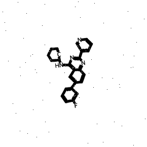 Fc1cccc(-c2ccc3nc(-c4cccnc4)nc(NC4CCCCC4)c3c2)c1